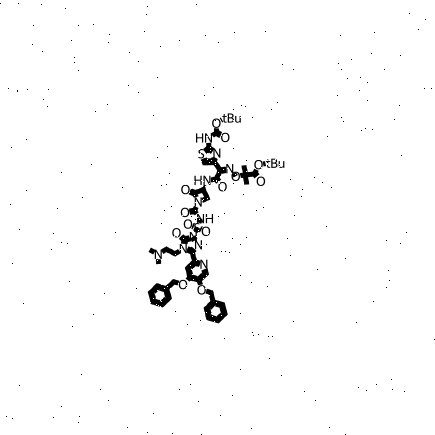 CN(C)CCn1c(-c2cc(OCc3ccccc3)c(OCc3ccccc3)cn2)nn(S(=O)(=O)NC(=O)N2C[C@H](NC(=O)/C(=N\OC(C)(C)C(=O)OC(C)(C)C)c3csc(NC(=O)OC(C)(C)C)n3)C2=O)c1=O